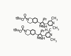 Cc1cc(-c2[nH]nc(-c3ccc4c(c3)CCN(C(=O)OC(C)(C)C)C4)c2C(C)C)cc(C)n1.Cc1cc(-c2[nH]nc(-c3ccc4c(c3)CCN(C(=O)OC(C)(C)C)C4)c2C(C)C)cc(C)n1